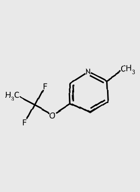 Cc1ccc(OC(C)(F)F)cn1